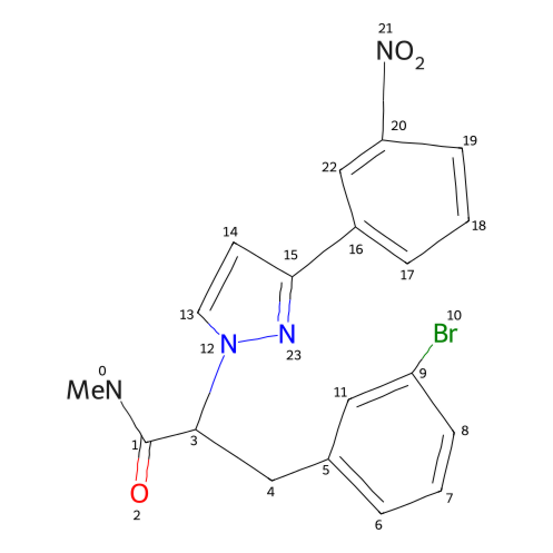 CNC(=O)C(Cc1cccc(Br)c1)n1ccc(-c2cccc([N+](=O)[O-])c2)n1